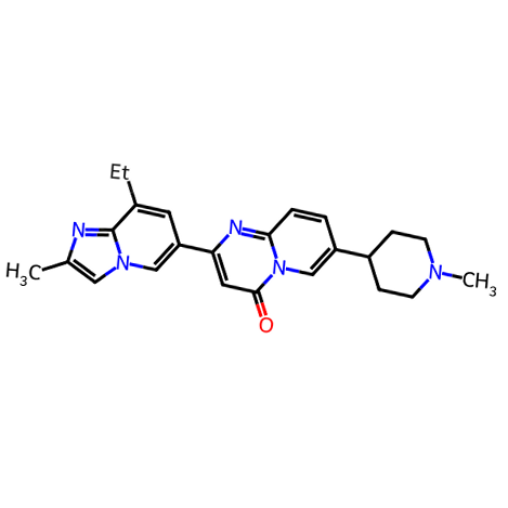 CCc1cc(-c2cc(=O)n3cc(C4CCN(C)CC4)ccc3n2)cn2cc(C)nc12